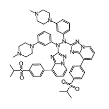 CC(C)S(=O)(=O)c1ccc(-c2cccn3nc(N(c4cccc(N5CCN(C)CC5)c4)N(c4cccc(N5CCN(C)CC5)c4)c4nc5c(-c6ccc(S(=O)(=O)C(C)C)cc6)cccn5n4)nc23)cc1